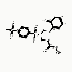 CS(=O)(=O)c1ccc(S(=O)(=O)N(CCC(=O)NO)CCC2=CC=CCC2=S)cc1